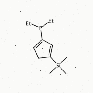 CCP(CC)C1=CCC([Si](C)(C)C)=C1